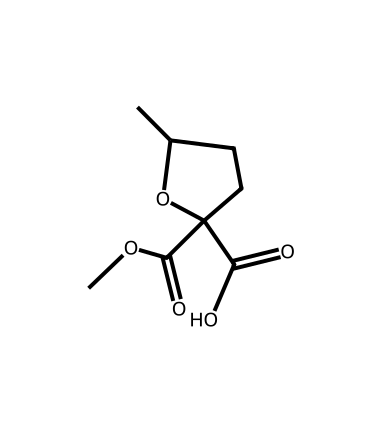 COC(=O)C1(C(=O)O)CCC(C)O1